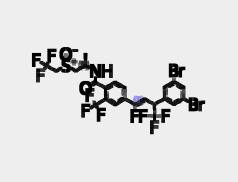 C[C@H](C[S+]([O-])CC(F)(F)F)NC(=O)c1ccc(/C(F)=C/C(c2cc(Br)cc(Br)c2)C(F)(F)F)cc1C(F)(F)F